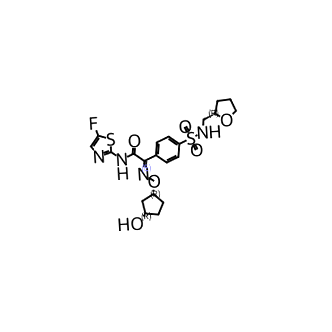 O=C(Nc1ncc(F)s1)/C(=N/O[C@@H]1CC[C@@H](O)C1)c1ccc(S(=O)(=O)NC[C@H]2CCCO2)cc1